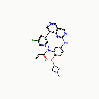 C=CC(=O)Nc1cc(Nc2ncc3cncc(-c4cncc(Cl)c4)c3n2)ccc1OC1CN(C)C1